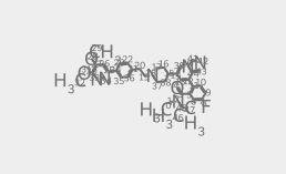 CCN(C(=O)c1cc(F)ccc1-c1cc(C2CCN(CCc3ccc(-c4cc(OC)c(OC)nn4)cc3)CC2)cn2cncc12)C(C)C